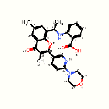 Cc1cc(C(C)Nc2ccccc2C(=O)O)c2oc(-c3ccc(N4CCOCC4)nc3)c(C)c(=O)c2c1